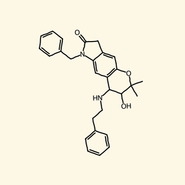 CC1(C)Oc2cc3c(cc2C(NCCc2ccccc2)C1O)N(Cc1ccccc1)C(=O)C3